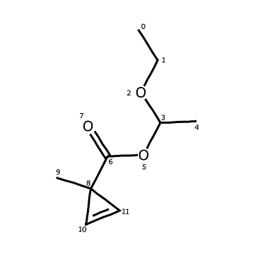 CCOC(C)OC(=O)C1(C)C=C1